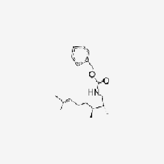 CC(C)=CCC[C@H](C)[C@@H](C)CNC(=O)OCc1ccccc1